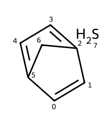 C1=CC2=CC=C1C2.S